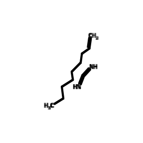 C=CCCCCCCC.N=C=N